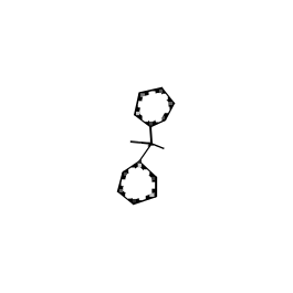 [C]C(C[CH2])(c1ccccc1)c1ccccc1